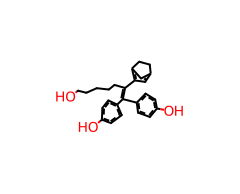 OCCCCCC(C1=C2CCC(=C1)C2)=C(c1ccc(O)cc1)c1ccc(O)cc1